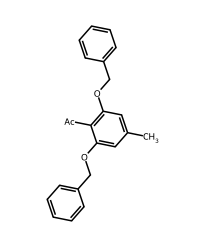 CC(=O)c1c(OCc2ccccc2)cc(C)cc1OCc1ccccc1